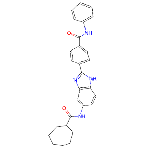 O=C(Nc1ccccc1)c1ccc(-c2nc3cc(NC(=O)C4CCCCCC4)ccc3[nH]2)cc1